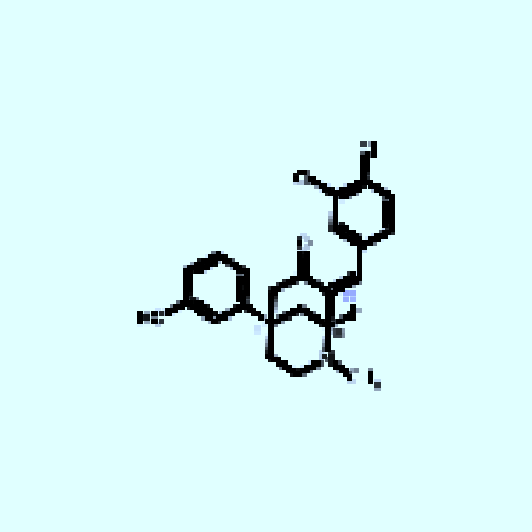 CN1CC[C@]2(c3cccc(O)c3)CC(=O)/C(=C\c3ccc(Cl)c(Cl)c3)[C@H]1C2